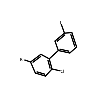 Clc1c[c]c(Br)cc1-c1cccc(I)c1